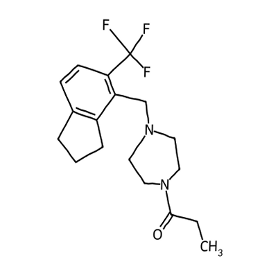 CCC(=O)N1CCN(Cc2c(C(F)(F)F)ccc3c2CCC3)CC1